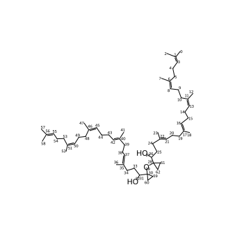 CC(C)=CCCC(C)=CCCC(C)=CCCC=C(C)CCC=C(C)CCC(O)C1(OC2(C(O)CCC(C)=CCCC(C)=CCCC=C(C)CCC=C(C)CCC=C(C)C)CC2)CC1